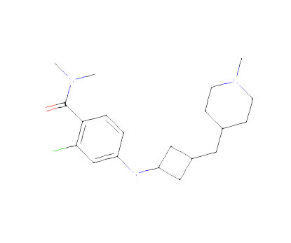 CN1CCC(CC2CC(Nc3ccc(C(=O)N(C)C)c(Cl)c3)C2)CC1